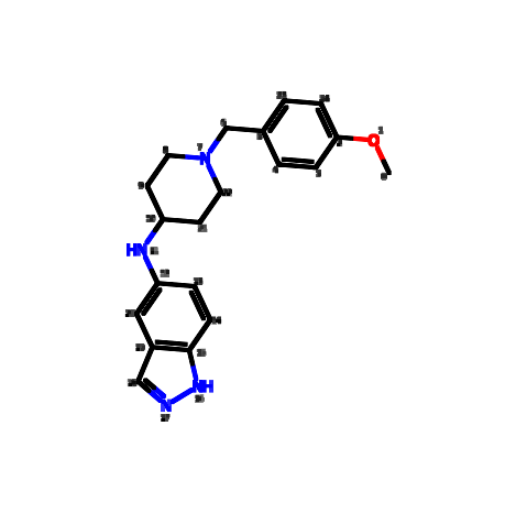 COc1ccc(CN2CCC(Nc3ccc4[nH]ncc4c3)CC2)cc1